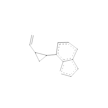 O=CC1CC1c1cccc2ccoc12